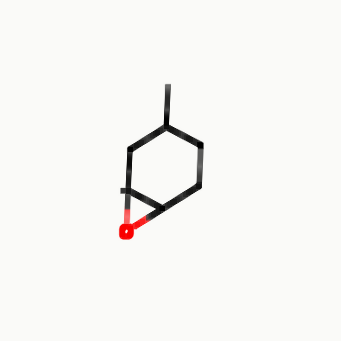 CC1CCC2O[C]2C1